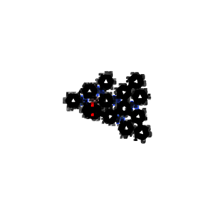 c1ccc(-c2ccc3c(c2)c2c(c4c5cc(-c6ccccc6)ccc5n(-c5ccc6c(c5)N(c5ccccc5)c5cccc7c5B6c5ccccc5N7c5ccccc5)c4c4c5cc(-c6ccccc6)ccc5n(-c5ccccc5)c24)n3-c2ccccc2)cc1